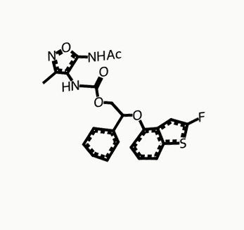 CC(=O)Nc1onc(C)c1NC(=O)OCC(Oc1cccc2sc(F)cc12)c1ccccc1